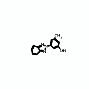 Cc1cc(O)cc(-n2nc3ccccc3n2)c1